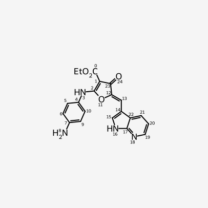 CCOC(=O)C1=C(Nc2ccc(N)cc2)O/C(=C\c2c[nH]c3ncccc23)C1=O